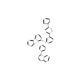 C1=C(c2ccccc2)CCc2c1sc1c(N(c3ccc(-c4cccc5ccccc45)cc3)c3cccc4c3sc3ccccc34)cccc21